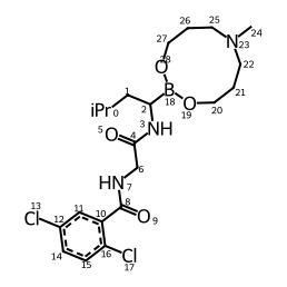 CC(C)CC(NC(=O)CNC(=O)c1cc(Cl)ccc1Cl)B1OCCCN(C)CCCO1